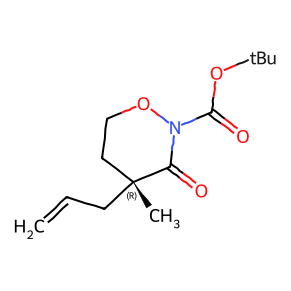 C=CC[C@]1(C)CCON(C(=O)OC(C)(C)C)C1=O